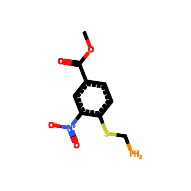 COC(=O)c1ccc(SCP)c([N+](=O)[O-])c1